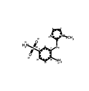 Cn1ccnc1Sc1cc(S(N)(=O)=O)ccc1N